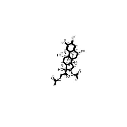 CC(=O)OCC(=O)[C@@]1(O)[C@H](OC(C)=O)C[C@H]2[C@@H]3C[C@@H](F)C4=CC(=O)C(Br)=C[C@]4(C)[C@@]3(F)[C@@H](O)C[C@@]21C